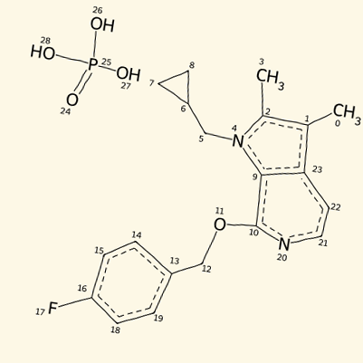 Cc1c(C)n(CC2CC2)c2c(OCc3ccc(F)cc3)nccc12.O=P(O)(O)O